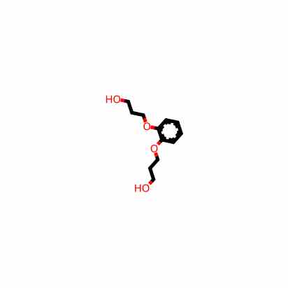 OCCCOc1ccccc1OCCCO